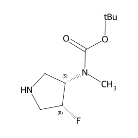 CN(C(=O)OC(C)(C)C)[C@H]1CNC[C@H]1F